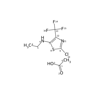 CC(=O)O.CCNc1sc(Cl)nc1C(F)(F)F